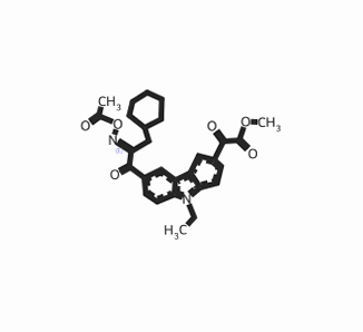 CCn1c2ccc(C(=O)C(=O)OC)cc2c2cc(C(=O)/C(CC3CCCCC3)=N/OC(C)=O)ccc21